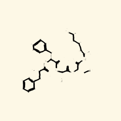 CC(C)C[C@H](NC(=O)[C@@H](NC(=O)[C@H](Cc1ccccc1)NC(=O)[C@@H](N)Cc1ccccc1)C(C)C)C(=O)N[C@@H](CCCCN)C(=O)O